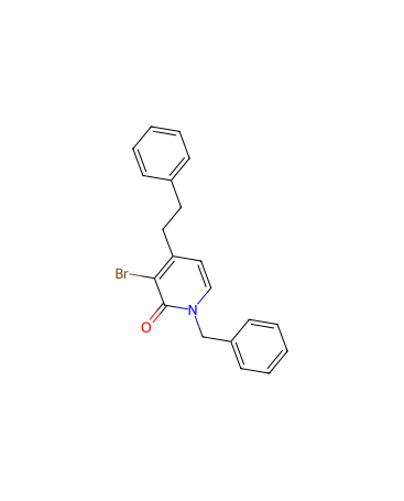 O=c1c(Br)c(CCc2ccccc2)ccn1Cc1ccccc1